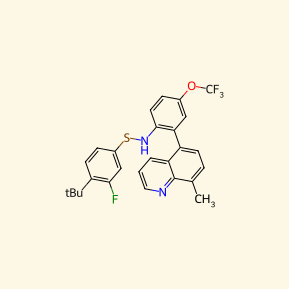 Cc1ccc(-c2cc(OC(F)(F)F)ccc2NSc2ccc(C(C)(C)C)c(F)c2)c2cccnc12